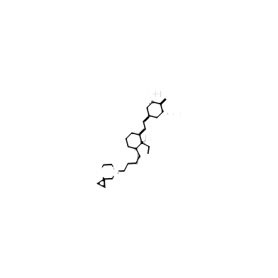 C=C1[C@H](O)CC(=CC=C2CCC[C@]3(C)[C@@H]([C@H](C)CCN4CCOC5(CC5)C4)CC[C@@H]23)C[C@@H]1O